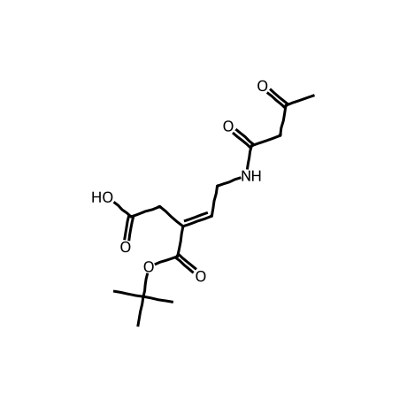 CC(=O)CC(=O)NC/C=C(\CC(=O)O)C(=O)OC(C)(C)C